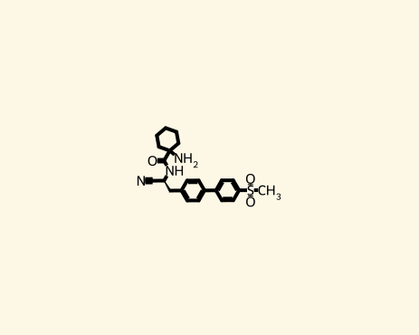 CS(=O)(=O)c1ccc(-c2ccc(C[C@@H](C#N)NC(=O)C3(N)CCCCC3)cc2)cc1